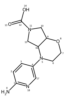 Nc1ccc(N2CCOC3CN(C(=O)O)CC32)cn1